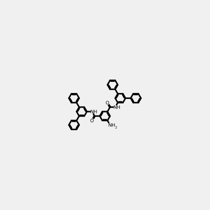 Nc1cc(C(=O)Nc2cc(-c3ccccc3)cc(-c3ccccc3)c2)cc(C(=O)Nc2cc(-c3ccccc3)cc(-c3ccccc3)c2)c1